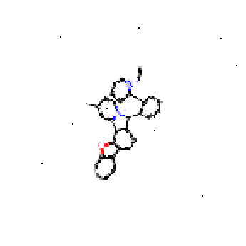 C=C[n+]1ccccc1-c1ccccc1C1c2ccc3c(oc4ccccc43)c2-c2cc(C)cc[n+]21